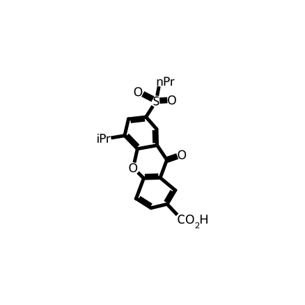 CCCS(=O)(=O)c1cc(C(C)C)c2oc3ccc(C(=O)O)cc3c(=O)c2c1